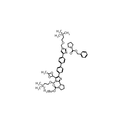 CC1OC(c2c(-c3ccc(-c4ccc(-c5cn(COCC[Si](C)(C)C)c([C@@H]6CCCN6C(=O)OCc6ccccc6)n5)cc4)cc3)nc(C3CCCN3C(=O)OC(C)(C)C)n2COCC[Si](C)(C)C)O1